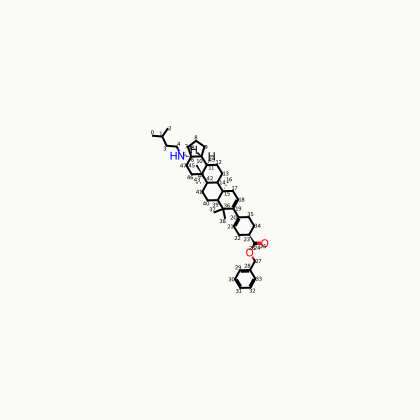 CC(C)CCN[C@]12CCC[C@@H]1[C@H]1CCC3[C@@]4(C)CC=C(C5=CC[C@H](C(=O)OCc6ccccc6)CC5)C(C)(C)C4CC[C@@]3(C)[C@]1(C)CC2